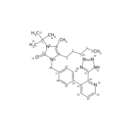 CCCCCc1c(C)n(C(C)(C)C)c(=O)n1Cc1ccc(-c2cccnc2-c2nnn[nH]2)cc1